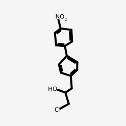 O=[N+]([O-])c1ccc(-c2ccc(CC(O)CCl)cc2)cc1